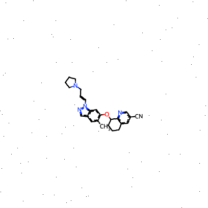 Cc1cc2cnn(C=CCN3CCCC3)c2cc1OC1CCCc2cc(C#N)cnc21